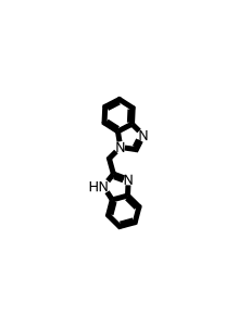 c1ccc2[nH]c(Cn3cnc4ccccc43)nc2c1